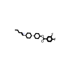 CCC/C=C/[C@H]1CC[C@H](C2CCC(OC(=O)c3ccc(F)c(F)c3)CC2)CC1